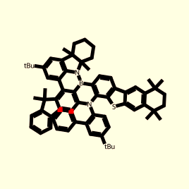 CC(C)(C)c1ccc(N2c3cc4c(c5c3B(c3ccc6c(sc7cc8c(cc76)C(C)(C)CCC8(C)C)c32)N2c3c-5cc(C(C)(C)C)cc3C3(C)CCCCC23C)C(C)(C)c2ccccc2-4)c(-c2ccccc2)c1